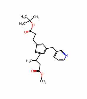 COC(=O)CC(C)c1cc(CCC(=O)OC(C)(C)C)cc(Cc2cccnc2)c1